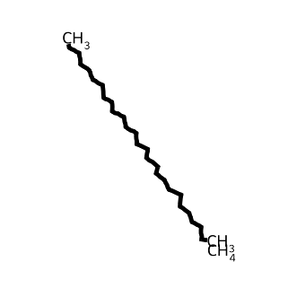 C.CCCCCCCCCCCCCCCCCCCCCCCCCCC